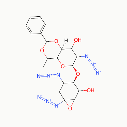 CC1OC(c2ccccc2)O[C@H]2C(O)C(N=[N+]=[N-])[C@@H](O[C@@H]3C(N=[N+]=[N-])CC4(N=[N+]=[N-])OC4C3O)OC12